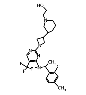 Cc1ccc(C(C)Nc2nc(N3CC(C4CCCN(CCO)C4)C3)ncc2C(F)(F)F)c(Cl)c1